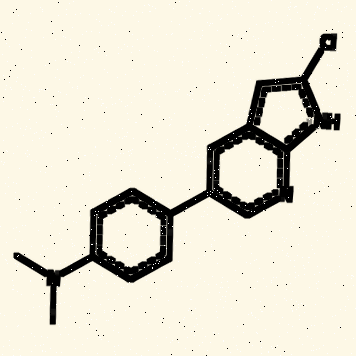 CN(C)c1ccc(-c2cnc3[nH]c(Cl)cc3c2)cc1